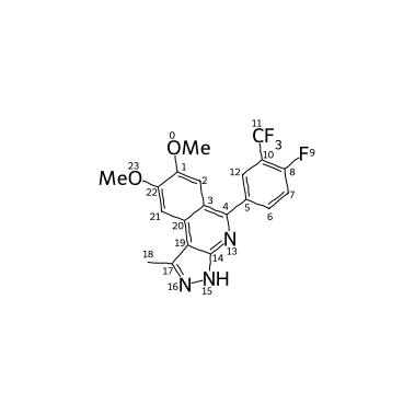 COc1cc2c(-c3ccc(F)c(C(F)(F)F)c3)nc3[nH]nc(C)c3c2cc1OC